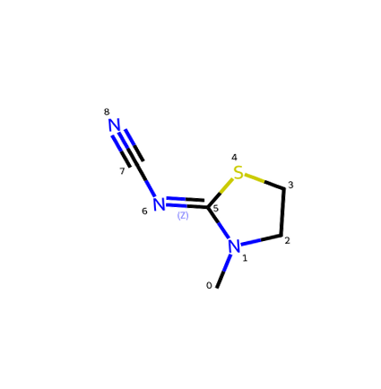 CN1CCS/C1=N\C#N